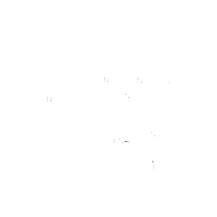 COc1cc(C(=O)N2C[C@H](N)C[C@H](F)C2)cc2nc(-c3cc4cccc(C5CC(C(N)=O)C5)c4n3CC3CC3)n(C)c12